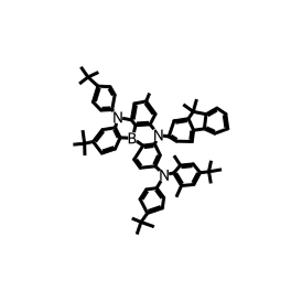 Cc1cc2c3c(c1)N(c1ccc(C(C)(C)C)cc1)c1cc(C(C)(C)C)ccc1B3c1ccc(N(c3ccc(C(C)(C)C)cc3)c3c(C)cc(C(C)(C)C)cc3C)cc1N2c1ccc2c(c1)C(C)(C)c1ccccc1-2